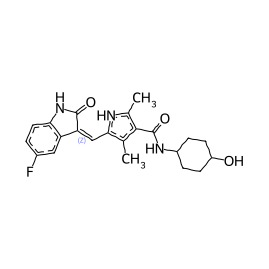 Cc1[nH]c(/C=C2\C(=O)Nc3ccc(F)cc32)c(C)c1C(=O)NC1CCC(O)CC1